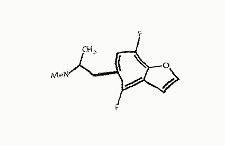 CNC(C)Cc1cc(F)c2occc2c1F